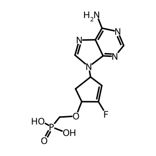 Nc1ncnc2c1ncn2C1C=C(F)C(OCP(=O)(O)O)C1